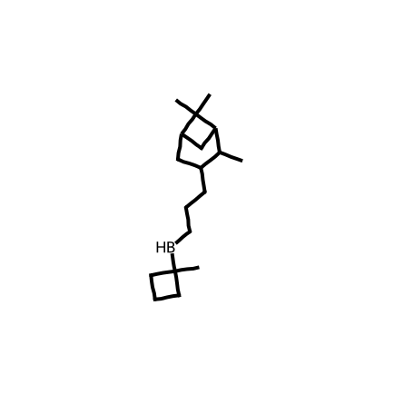 CC1C(CCCBC2(C)CCC2)CC2CC1C2(C)C